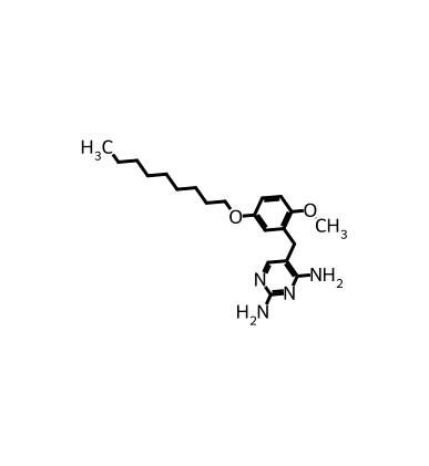 CCCCCCCCCOc1ccc(OC)c(Cc2cnc(N)nc2N)c1